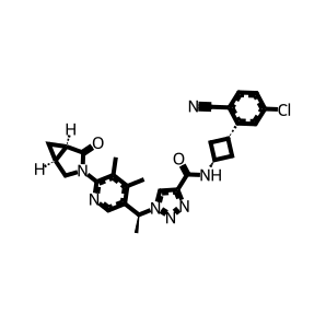 Cc1c([C@H](C)n2cc(C(=O)N[C@H]3C[C@@H](c4cc(Cl)ccc4C#N)C3)nn2)cnc(N2C[C@H]3C[C@H]3C2=O)c1C